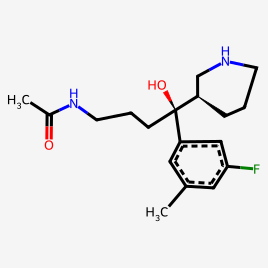 CC(=O)NCCC[C@@](O)(c1cc(C)cc(F)c1)[C@@H]1CCCNC1